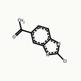 CC(=O)c1ccc2sc(Cl)nc2c1